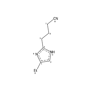 CCc1c[nH]c(CCCC#N)n1